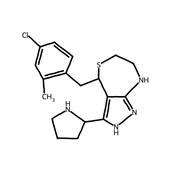 Cc1cc(Cl)ccc1CC1SCCNc2n[nH]c(C3CCCN3)c21